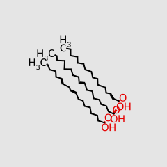 CCCCCC=CCC=CCCCCCCCC(=O)O.CCCCCCCCC=CCCCCCCCC(=O)O.CCCCCCCCCCCCCC=CC(=O)O